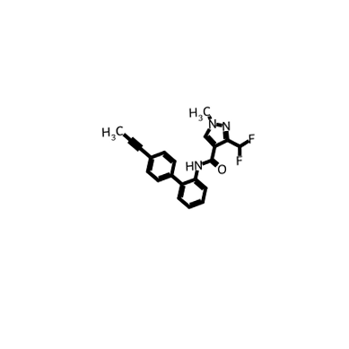 CC#Cc1ccc(-c2ccccc2NC(=O)c2cn(C)nc2C(F)F)cc1